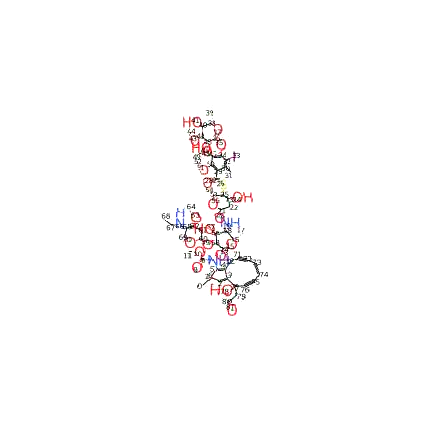 CC/C=C1\C(=C(/C)NC(=O)OC)[C@@H](O[C@@H]2O[C@@H](C)[C@@H](NO[C@H]3C[C@H](O)[C@H](SC(=O)c4c(C)c(I)c(O[C@@H]5O[C@@H](C)[C@H](O)[C@@H](OC)[C@H]5O)c(OC)c4OC)[C@@H](C)O3)[C@H](O)[C@H]2O[C@H]2C[C@H](OC)[C@@H](NCC)CO2)C#C/C=C\C#C[C@]1(O)CC=O